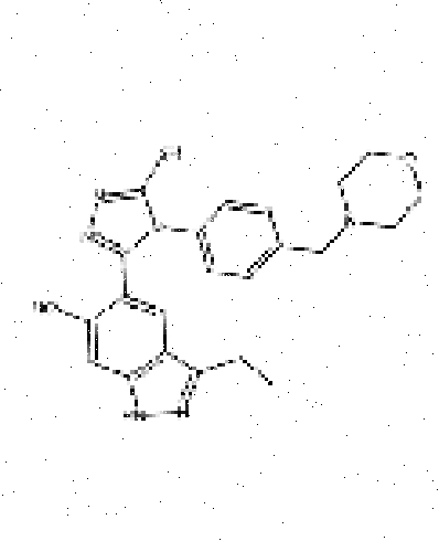 CCc1n[nH]c2cc(O)c(-c3nnc(S)n3-c3ccc(CN4CCOCC4)cc3)cc12